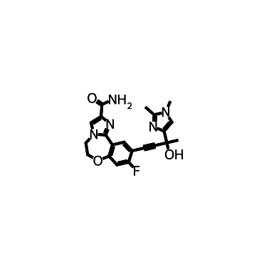 Cc1nc(C(C)(O)C#Cc2cc3c(cc2F)OCCn2cc(C(N)=O)nc2-3)cn1C